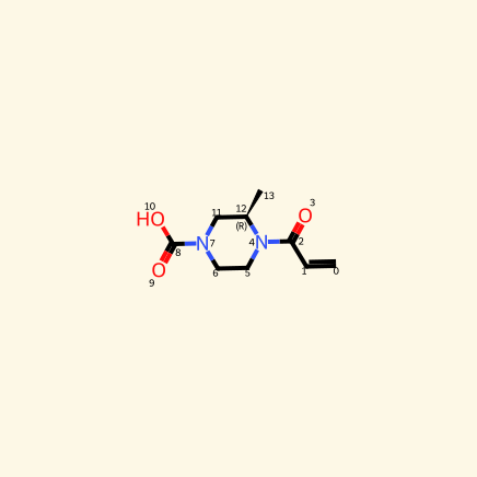 C=CC(=O)N1CCN(C(=O)O)C[C@H]1C